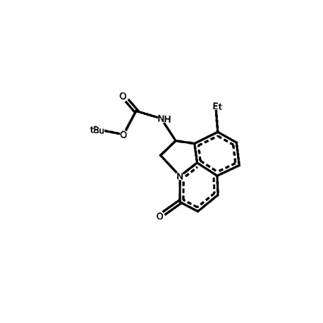 CCc1ccc2ccc(=O)n3c2c1C(NC(=O)OC(C)(C)C)C3